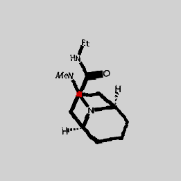 CCNC(=O)CN1[C@@H]2CCC[C@H]1CC(NC)C2